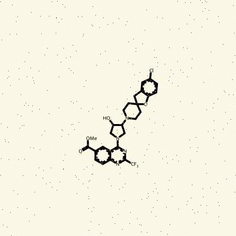 COC(=O)c1ccc2nc(C(F)(F)F)nc(N3CC(O)C(N4CCC5(CC4)Cc4cc(Cl)ccc4O5)C3)c2c1